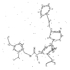 CCc1cc(OC)ccc1CNC(=O)c1cc(-c2ccnc(/C=C/c3ccccc3)c2)[nH]c1C(C)C